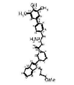 COCCCn1c(C2CCCN(C(=O)C[C@H](N)Cc3ccc(-c4cc(C)c(O)c(C)c4)cc3)C2)cc2ccccc21